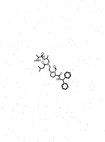 CNC(C)C(=O)NC(C)CN(CCN1CCC(C(=O)NC(c2ccccc2)c2ccccc2)N1C=O)C(=O)CC(C)C